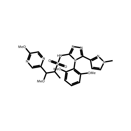 COc1cnc(C(OC)C(C)S(=O)(=O)Nc2nnc(-c3ccn(C)n3)n2-c2c(OC)cccc2OC)cn1